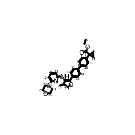 CCOC(=O)C1(c2ccc(-c3ccc(-c4onc(C)c4Nc4cccc(N5CCOCC5)n4)cc3)cc2)CC1